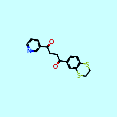 O=C(CCC(=O)c1ccc2c(c1)SCCS2)c1cccnc1